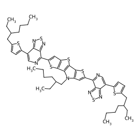 CCCCC(CC)Cc1ccc(-c2cnc(-c3cc4c(s3)c3sc5cc(-c6ncc(-c7ccc(CC(CC)CCCC)s7)c7nsnc67)sc5c3n4CC(CC)CCCC)c3nsnc23)s1